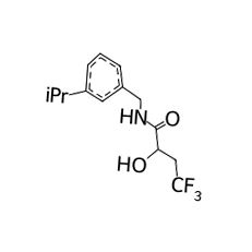 CC(C)c1cccc(CNC(=O)C(O)CC(F)(F)F)c1